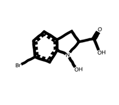 O=C(O)C1Cc2ccc(Br)cc2N1O